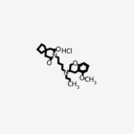 CCCN(CCCCN1C(=O)CC2(CCCC2)CC1=O)C1COc2cccc(OC)c2C1.Cl